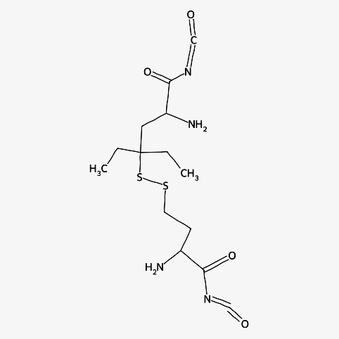 CCC(CC)(CC(N)C(=O)N=C=O)SSCCC(N)C(=O)N=C=O